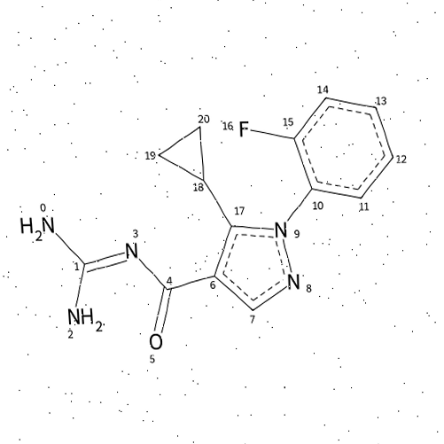 NC(N)=NC(=O)c1cnn(-c2ccccc2F)c1C1CC1